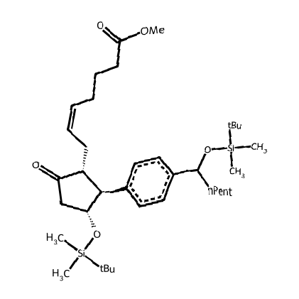 CCCCCC(O[Si](C)(C)C(C)(C)C)c1ccc([C@H]2[C@H](O[Si](C)(C)C(C)(C)C)CC(=O)[C@@H]2C/C=C\CCCC(=O)OC)cc1